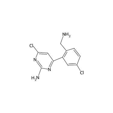 NCc1ccc(Cl)cc1-c1cc(Cl)nc(N)n1